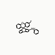 Fc1ccc2c(c1)Oc1ccccc1C21c2ccccc2-c2ccc(Nc3ccccc3)cc21